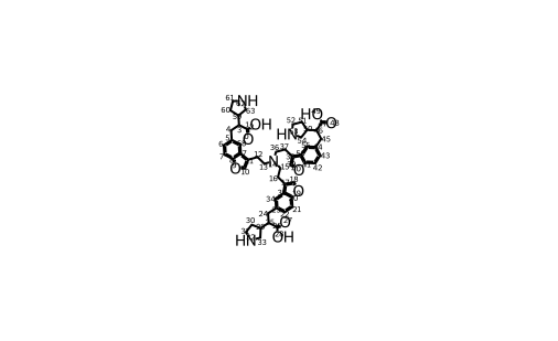 O=C(O)C(Cc1ccc2occ(CCN(CCc3coc4ccc(CC(C(=O)O)C5CCNC5)cc34)CCc3coc4ccc(CC(C(=O)O)C5CCNC5)cc34)c2c1)C1CCNC1